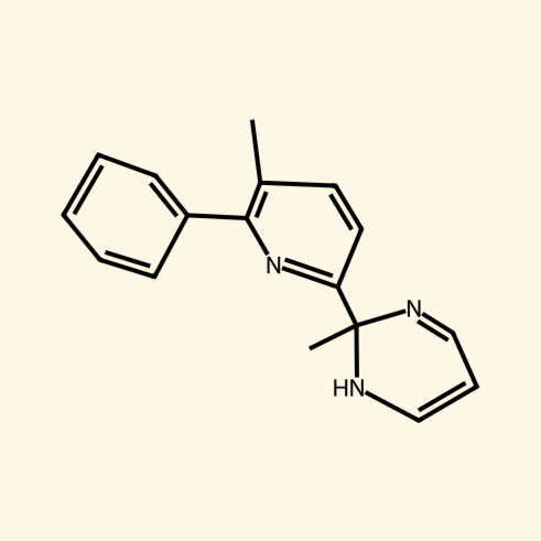 Cc1ccc(C2(C)N=CC=CN2)nc1-c1ccccc1